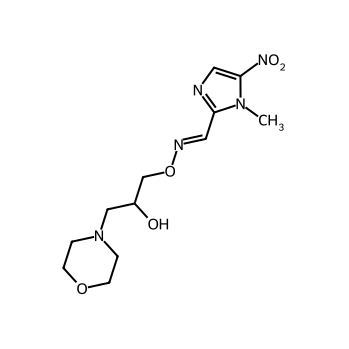 Cn1c([N+](=O)[O-])cnc1C=NOCC(O)CN1CCOCC1